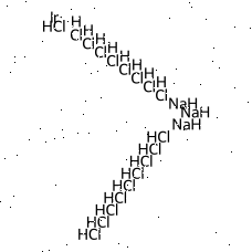 Cl.Cl.Cl.Cl.Cl.Cl.Cl.Cl.Cl.Cl.Cl.Cl.Cl.Cl.Cl.Cl.Cl.Cl.[Ir].[NaH].[NaH].[NaH]